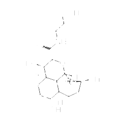 C[C@H]1[C@H](C(=O)NCCS(=O)(=O)O)O[C@@H]2O[C@@]3(C)CC[C@H]4[C@H](C)CC[C@@H]1[C@@]24OO3